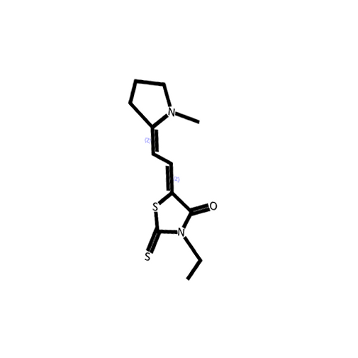 CCN1C(=O)/C(=C/C=C2/CCCN2C)SC1=S